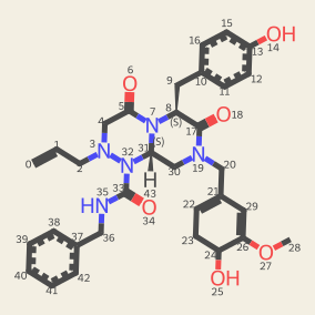 C=CCN1CC(=O)N2[C@@H](Cc3ccc(O)cc3)C(=O)N(CC3=CCC(O)C(OC)=C3)C[C@@H]2N1C(=O)NCc1ccccc1